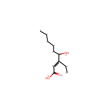 CCCCCC(O)C(=CC(=O)O)CC